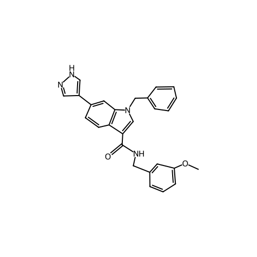 COc1cccc(CNC(=O)c2cn(Cc3ccccc3)c3cc(-c4cn[nH]c4)ccc23)c1